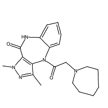 Cc1nn(C)c2c1N(C(=O)CN1CCCCCC1)c1ccccc1NC2=O